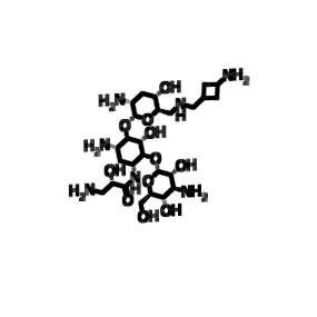 NC[C@H](O)C(=O)N[C@@H]1C[C@H](N)[C@@H](O[C@H]2O[C@H](CNCC3CC(N)C3)[C@@H](O)C[C@H]2N)[C@H](O)[C@H]1O[C@H]1O[C@H](CO)[C@@H](O)[C@H](N)[C@H]1O